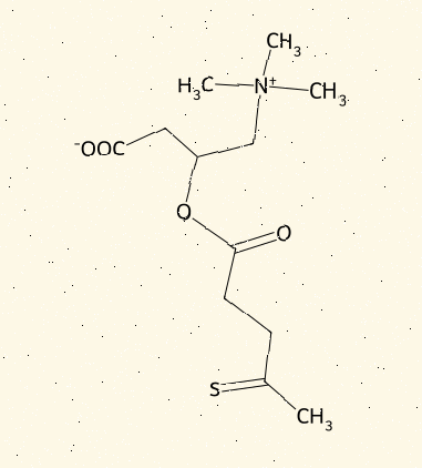 CC(=S)CCC(=O)OC(CC(=O)[O-])C[N+](C)(C)C